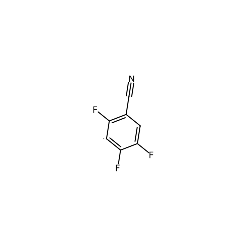 N#Cc1cc(F)c(F)[c]c1F